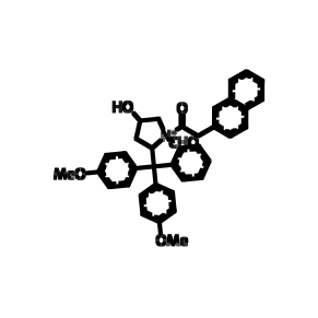 COc1ccc(C(c2ccccc2)(c2ccc(OC)cc2)C2CC(O)C[N+]2(C=O)C(=O)Cc2ccc3ccccc3c2)cc1